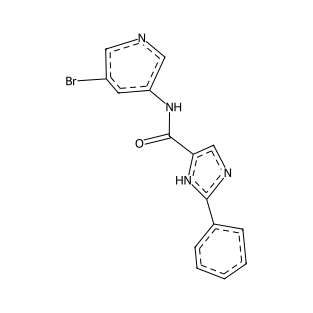 O=C(Nc1cncc(Br)c1)c1cnc(-c2ccccc2)[nH]1